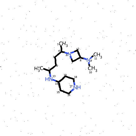 CC(CCC(C)N1CC(N(C)C)C1)NC1CCNCC1